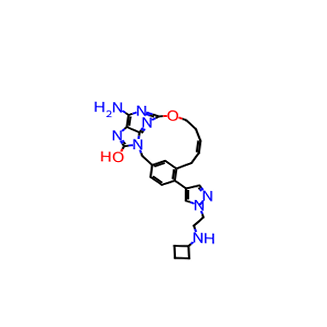 Nc1nc2nc3c1nc(O)n3Cc1ccc(-c3cnn(CCNC4CCC4)c3)c(c1)C/C=C\CCO2